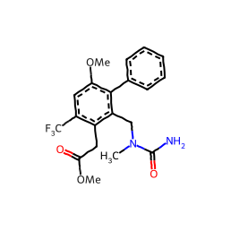 COC(=O)Cc1c(C(F)(F)F)cc(OC)c(-c2ccccc2)c1CN(C)C(N)=O